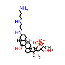 CC(C)C(CO)(CC[C@@H](C)C1CCC2C3C(CC[C@@]21C)[C@@]1(C)CC[C@H](NCCCNCCCCN)C[C@@H]1C[C@H]3O)OS(=O)(=O)O